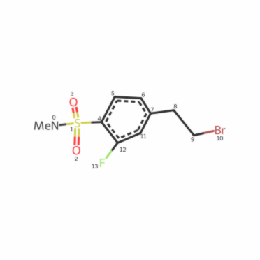 CNS(=O)(=O)c1ccc(CCBr)cc1F